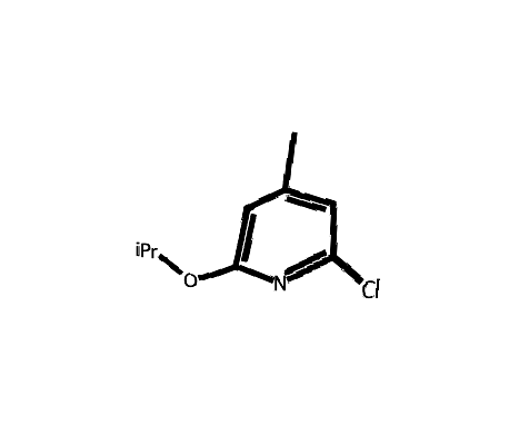 Cc1cc(Cl)nc(OC(C)C)c1